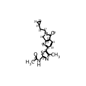 CC(=O)Nc1nc(C)c(-c2ccc3c(n2)CN(CCC2CC2)C3=O)s1